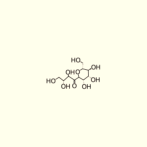 O=C(C1O[C@H](CO)[C@@H](O)[C@H](O)[C@@H]1O)[C@H](O)[C@H](O)CO